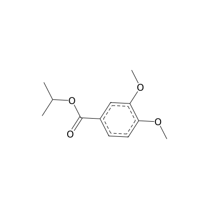 COc1ccc(C(=O)OC(C)C)cc1OC